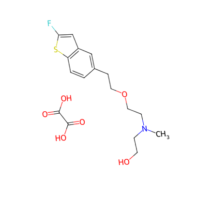 CN(CCO)CCOCCc1ccc2sc(F)cc2c1.O=C(O)C(=O)O